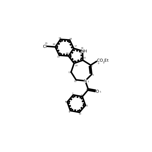 CCOC(=O)C1=CN(C(=O)c2ccccc2)CCc2c1[nH]c1ccc(Cl)cc21